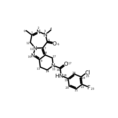 CC1=NN(C)C(=O)c2c3c(nn2C1)CCN(C(=O)Nc1ccc(F)c(Cl)c1)C3